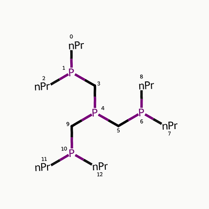 CCCP(CCC)CP(CP(CCC)CCC)CP(CCC)CCC